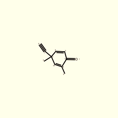 C#CC1(C)C=CC(=O)C(C)=C1